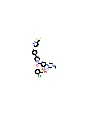 CCN1CCN(c2ccc(C(=O)N3CCC(c4ccc(Oc5ccc(C(F)(F)F)nn5)cc4)CC3)cc2NS(=O)(=O)Cc2ccccc2Cl)CC1